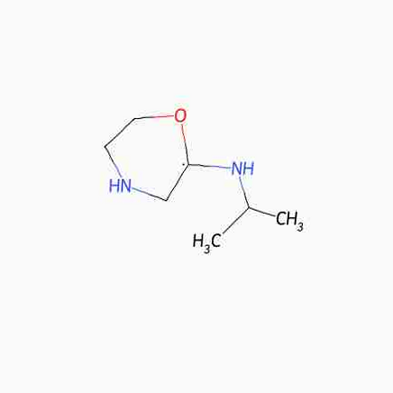 CC(C)N[C]1CNCCO1